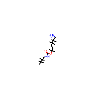 CC(C)(CCC(C)(C)C(C)(C)CN)OC(=O)NCC(C)(C)C(C)(C)C